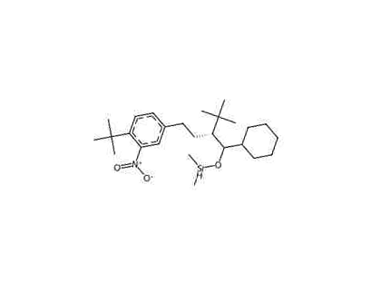 C[SiH](C)OC(C1CCCCC1)[C@H](CCc1ccc(C(C)(C)C)c([N+](=O)[O-])c1)C(C)(C)C